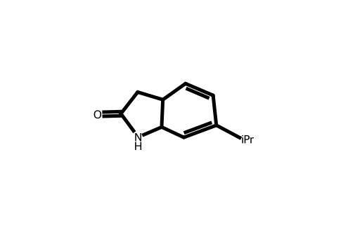 CC(C)C1=CC2NC(=O)CC2C=C1